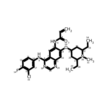 C=CC(=O)Nc1cc2c(Nc3ccc(F)c(Cl)c3)ncnc2cc1OC1CC(CC)N(C)C(CC)C1